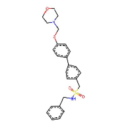 O=S(=O)(Cc1ccc(-c2ccc(OCN3CCOCC3)cc2)cc1)NCc1ccccc1